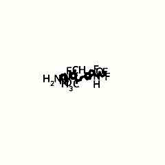 Cc1cc(C(C)/C=C/c2ccc3c(c2)CC(F)C3NC(=O)CC(F)F)cc(-n2ccc(N)nc2=O)c1F